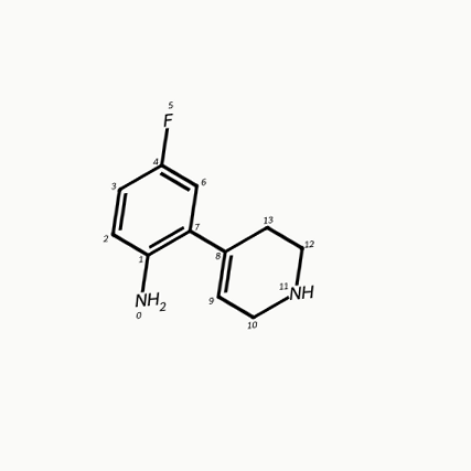 Nc1ccc(F)cc1C1=CCNCC1